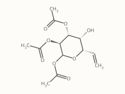 C=C[C@@H]1OC(OC(C)=O)[C@@H](OC(C)=O)[C@H](OC(C)=O)[C@@H]1O